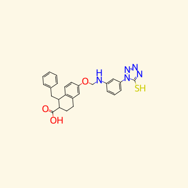 O=C(O)C1CCc2cc(OCNc3cccc(-n4nnnc4S)c3)ccc2C1Cc1ccccc1